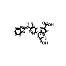 COC(CO)CN(c1cc(C)c(Nc2nc3ccccc3s2)nn1)c1nc(C(=O)O)cs1